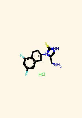 Cl.NCc1c[nH]c(=S)n1[C@@H]1CCc2c(F)cc(F)cc2C1